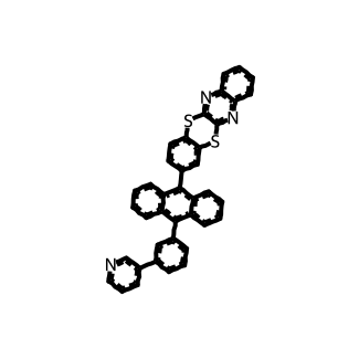 c1cncc(-c2cccc(-c3c4ccccc4c(-c4ccc5c(c4)Sc4nc6ccccc6nc4S5)c4ccccc34)c2)c1